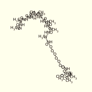 Cc1sc2c(c1C)C(c1ccc(Cl)cc1)=N[C@@H](CC(=O)Nc1ccc(OCCOCCOCCOCCOCCOCCC(=O)NCCCN(C)CCCNC(=O)c3cc(NC(=O)c4nc(NC(=O)CCNC(=O)c5cc(NC(=O)c6nc(NC(=O)CCNC(=O)c7cc(NC(=O)c8nccn8C)cn7C)cn6C)cn5C)cn4C)cn3C)cc1)c1nnc(C)n1-2